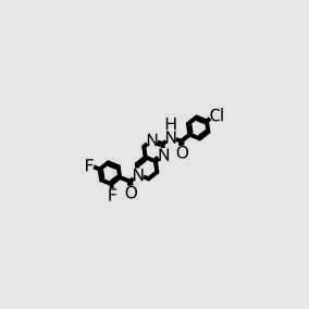 O=C(NC1=NCC2=CN(C(=O)c3ccc(F)cc3F)CCC2=N1)c1ccc(Cl)cc1